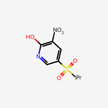 CC(C)S(=O)(=O)c1cnc(O)c([N+](=O)[O-])c1